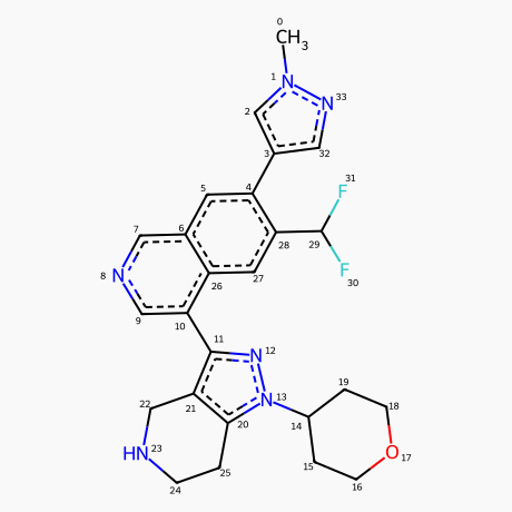 Cn1cc(-c2cc3cncc(-c4nn(C5CCOCC5)c5c4CNCC5)c3cc2C(F)F)cn1